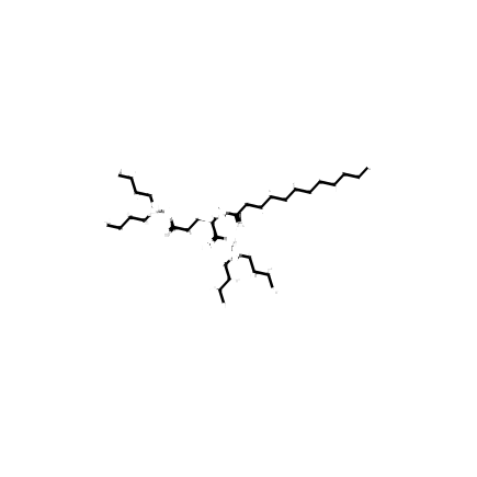 CCCCCCCCCCCC(=O)N[C@H](CCC(=O)ON(CCCC)CCCC)C(=O)ON(CCCC)CCCC